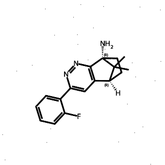 CC1(C)[C@H]2CC[C@]1(N)c1nnc(-c3ccccc3F)cc12